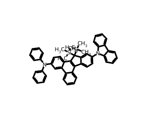 C[Si](C)(C)C1([Si](C)(C)C)c2cc(-n3c4ccccc4c4ccccc43)ccc2-c2c1c1ccc(N(c3ccccc3)c3ccccc3)cc1c1ccccc21